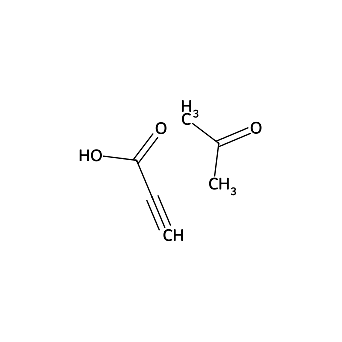 C#CC(=O)O.CC(C)=O